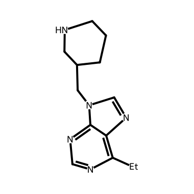 CCc1ncnc2c1ncn2CC1CCCNC1